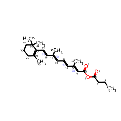 CCCC(=O)OC(=O)/C=C(C)/C=C/C=C(C)/C=C/C1=C(C)CCCC1(C)C